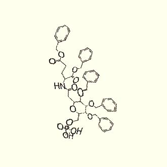 O=C(CC1OC(COP(=O)(O)O)C(OCc2ccccc2)C(OCc2ccccc2)C1OCc1ccccc1)NC(CCC(=O)OCc1ccccc1)C(=O)OCc1ccccc1